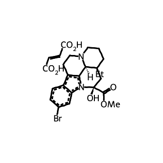 CC[C@]12CCCN3CCc4c(n(c5cc(Br)ccc45)[C@@](O)(C(=O)OC)C1)[C@@H]32.O=C(O)/C=C/C(=O)O